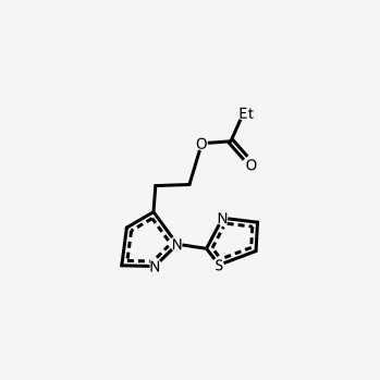 CCC(=O)OCCc1ccnn1-c1nccs1